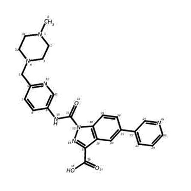 CN1CCN(Cc2ccc(NC(=O)n3nc(C(=O)O)c4cc(-c5cccnc5)ccc43)cn2)CC1